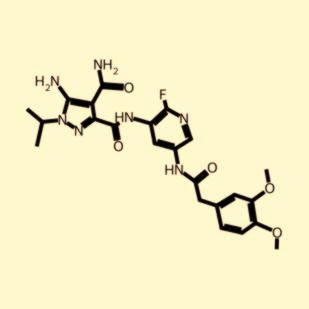 COc1ccc(CC(=O)Nc2cnc(F)c(NC(=O)c3nn(C(C)C)c(N)c3C(N)=O)c2)cc1OC